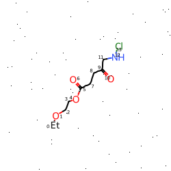 CCOCCOC(=O)CCC(=O)CNCl